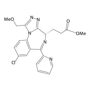 COCc1nnc2n1-c1ccc(Cl)cc1C(c1ccccn1)=N[C@H]2CCC(=O)OC